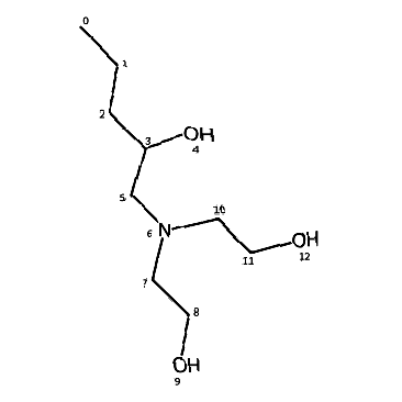 CCCC(O)CN(CCO)CCO